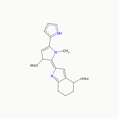 CCCCCCC1CCCC2=NC(=C3C(OC)C=C(c4ccc[nH]4)N3C)C=C21